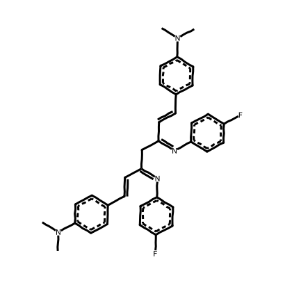 CN(C)c1ccc(C=CC(CC(C=Cc2ccc(N(C)C)cc2)=Nc2ccc(F)cc2)=Nc2ccc(F)cc2)cc1